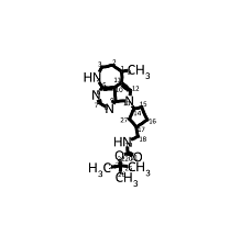 CC1CCNc2ncnc3c2c1cn3C1CCC(CNC(=O)OC(C)(C)C)C1